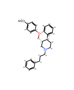 COc1ccc(OC[C@H]2CN(CCCc3ccccc3)CC[C@@H]2c2ccccc2)cc1